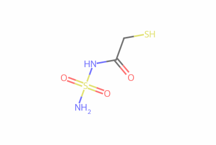 NS(=O)(=O)NC(=O)CS